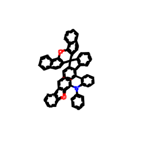 c1ccc(N(c2ccccc2-c2cccc3c2-c2ccccc2C32c3ccc4ccccc4c3Oc3c2ccc2ccccc32)c2cccc3c2oc2ccccc23)cc1